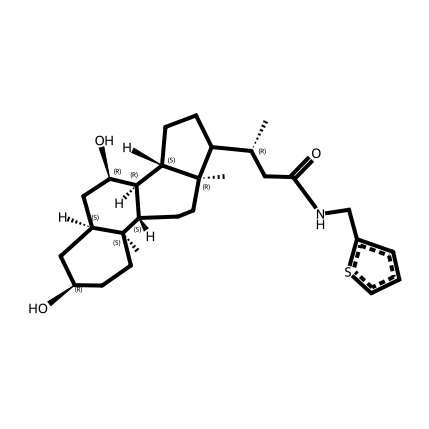 C[C@H](CC(=O)NCc1cccs1)C1CC[C@H]2[C@@H]3[C@H](O)C[C@@H]4C[C@H](O)CC[C@]4(C)[C@H]3CC[C@]12C